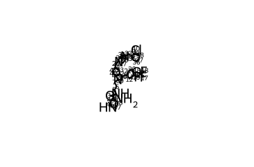 NC1(C(=O)NCCCn2cc(-c3ccc(OC(F)(F)F)cc3)c3cc(CN4CC5CC4CN5Cc4ccccc4Cl)ccc32)CCNCC1